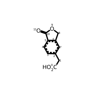 O=C(O)Cc1ccc2c(c1)COC2=O